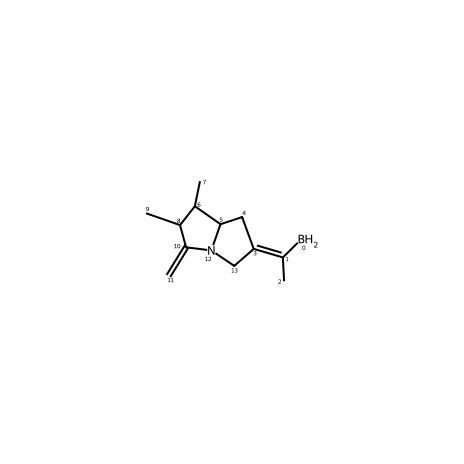 B/C(C)=C1\CC2C(C)C(C)C(=C)N2C1